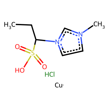 CCC([n+]1ccn(C)c1)S(=O)(=O)O.Cl.[Cu]